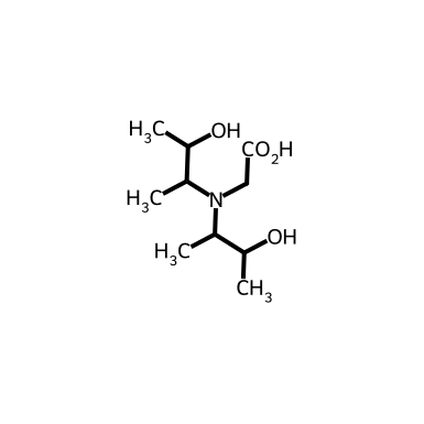 CC(O)C(C)N(CC(=O)O)C(C)C(C)O